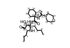 CCCCN[C@@](CCCC)(NC(=O)C1(NC(=O)N2CCOCC2)CCCCC1)[C@H](O)C=O